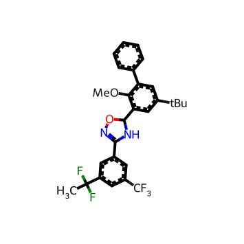 COc1c(-c2ccccc2)cc(C(C)(C)C)cc1C1NC(c2cc(C(C)(F)F)cc(C(F)(F)F)c2)=NO1